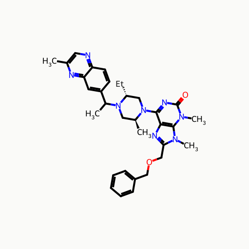 CC[C@@H]1CN(c2nc(=O)n(C)c3c2nc(COCc2ccccc2)n3C)[C@@H](C)CN1C(C)c1ccc2ncc(C)nc2c1